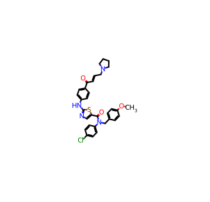 COc1ccc(CN(C(=O)c2cnc(Nc3ccc(C(=O)C=CCN4CCCC4)cc3)s2)c2ccc(Cl)cc2)cc1